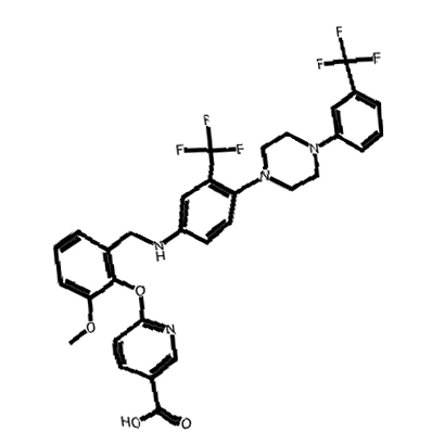 COc1cccc(CNc2ccc(N3CCN(c4cccc(C(F)(F)F)c4)CC3)c(C(F)(F)F)c2)c1Oc1ccc(C(=O)O)cn1